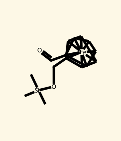 C[Si](C)(C)OC[C]12[CH]3[CH]4[CH]5[CH]1[Fe]45321678[CH]2[CH]1[CH]6[C]7(C=O)[CH]28